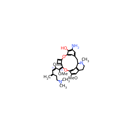 C=C(/C=C(OC)\C(OC)=C1\Oc2cc3c(cc2OC)CCN(C)C3Cc2cc(N)c(O)c(c2)OC2=CCC21)CCN(C)C